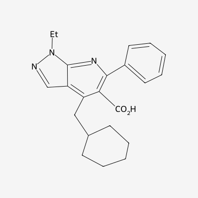 CCn1ncc2c(CC3CCCCC3)c(C(=O)O)c(-c3ccccc3)nc21